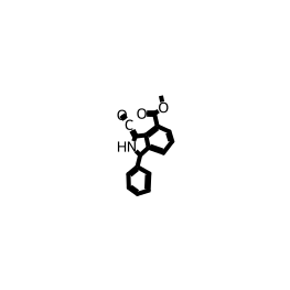 COC(=O)c1cccc2c1C(=C=O)NC2c1ccccc1